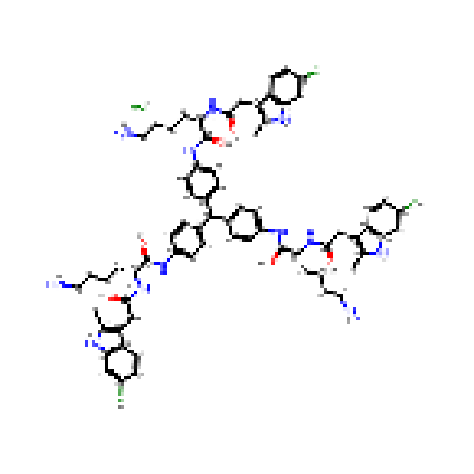 Cc1[nH]c2cc(Cl)ccc2c1CC(=O)N[C@H](CCCCN)C(=O)Nc1ccc(C(c2ccc(NC(=O)[C@@H](CCCCN)NC(=O)Cc3c(C)[nH]c4cc(Cl)ccc34)cc2)c2ccc(NC(=O)[C@@H](CCCCN)NC(=O)Cc3c(C)[nH]c4cc(Cl)ccc34)cc2)cc1.Cl